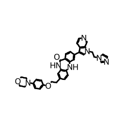 O=C1Nc2cc(CCOc3ccc(N4CCOCC4)cc3)ccc2Nc2cc(-c3cn(CCn4ccnc4)c4cnccc34)ccc21